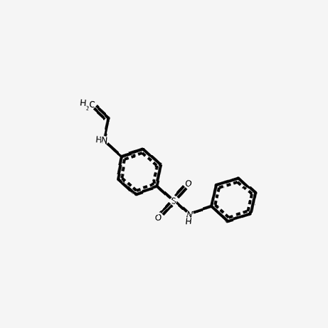 C=CNc1ccc(S(=O)(=O)Nc2ccccc2)cc1